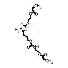 C=CC(=O)OCCNC(=O)OCCCC(C)OC(=O)NCCOC(=O)C=C